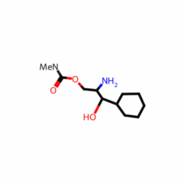 CNC(=O)OCC(N)C(O)C1CCCCC1